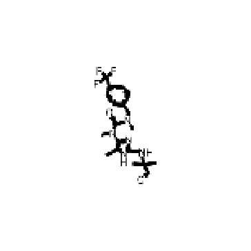 Cc1[nH]c(NC(C)(C)C=O)nc1N(C)C(=O)N(C)Cc1ccc(C(F)(F)F)cc1